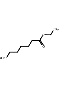 [CH2]C(C)(C)COC(=O)CCCCCCCCCCCCC